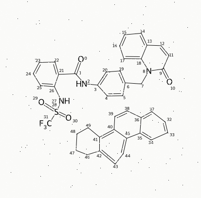 O=C(Nc1ccc(Cn2c(=O)ccc3ccccc32)cc1)c1ccccc1NS(=O)(=O)C(F)(F)F.c1ccc2c(c1)ccc1c3c(ccc12)CCCC3